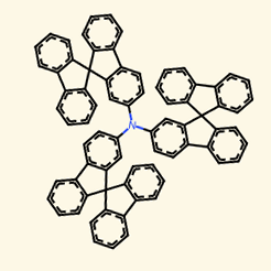 c1ccc2c(c1)-c1ccccc1C21c2ccccc2-c2ccc(N(c3ccc4c(c3)C3(c5ccccc5-c5ccccc53)c3ccccc3-4)c3ccc4c(c3)C3(c5ccccc5-c5ccccc53)c3ccccc3-4)cc21